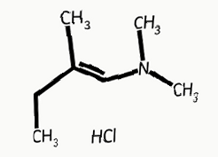 CCC(C)=CN(C)C.Cl